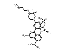 CNCCO[C@@H]1CCN(c2nccc(-c3nc(N)cc4c(C(C)C)ccc(N5C[C@H](CS(C)(=O)=O)[C@H]5C)c34)n2)CC1(F)F